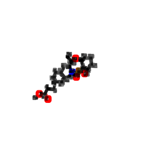 COC(=O)C=Cc1ccc(C)c(CN2C[C@@H](C)Oc3ccccc3S2(=O)=O)c1